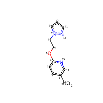 O=[N+]([O-])c1ccc(OCCn2cccn2)nc1